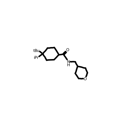 CC(C)C1(C(C)(C)C)CCC(C(=O)NCC2CCOCC2)CC1